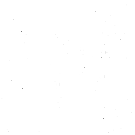 CC(=CCC(C)C1CCCC1)C(=O)O